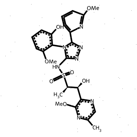 COC1=NC(c2nnc(NS(=O)(=O)[C@H](C)[C@@H](O)c3ncc(C)nc3OC)n2-c2c(O)cccc2OC)=C=C=C1